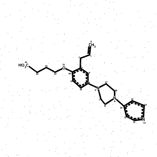 C=CCc1cc(N2CCN(c3ccncc3)CC2)ccc1OCCCC(=O)O